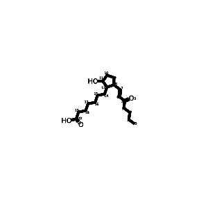 CCCCC(=O)C=CC1CCC(O)C1CCCCCCC(=O)O